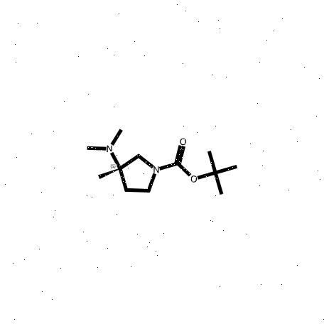 CN(C)[C@@]1(C)CCN(C(=O)OC(C)(C)C)C1